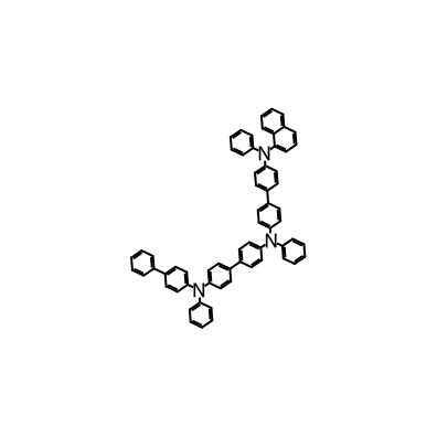 c1ccc(-c2ccc(N(c3ccccc3)c3ccc(-c4ccc(N(c5ccccc5)c5ccc(-c6ccc(N(c7ccccc7)c7cccc8ccccc78)cc6)cc5)cc4)cc3)cc2)cc1